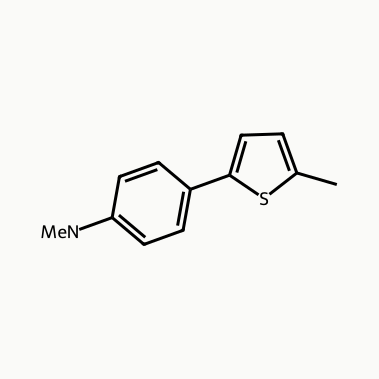 CNc1ccc(-c2ccc(C)s2)cc1